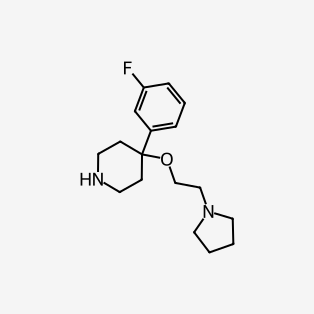 Fc1cccc(C2(OCCN3CCCC3)CCNCC2)c1